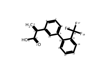 C=C(C(=O)O)c1cccc(-c2ccccc2C(F)(F)F)c1